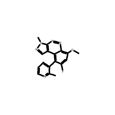 COc1cc(F)c(-c2cccnc2C)c2c1nnc1c2cnn1C